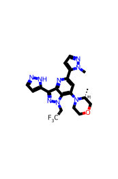 C[C@@H]1COCCN1c1cc(-c2ccnn2C)nc2c(-c3ccn[nH]3)nn(CC(F)(F)F)c12